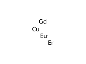 [Cu].[Er].[Eu].[Gd]